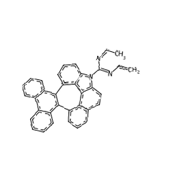 C=C/N=C(\N=C/C)n1c2cccc3c2c2c4c(cccc4ccc21)-c1c-3c2ccccc2c2ccccc12